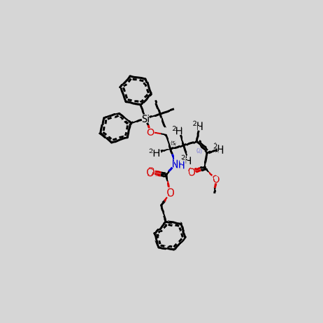 [2H]/C(C(=O)OC)=C(\[2H])C([2H])([2H])[C@@]([2H])(CO[Si](c1ccccc1)(c1ccccc1)C(C)(C)C)NC(=O)OCc1ccccc1